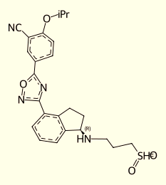 CC(C)Oc1ccc(-c2nc(-c3cccc4c3CC[C@H]4NCCC[SH](=O)=O)no2)cc1C#N